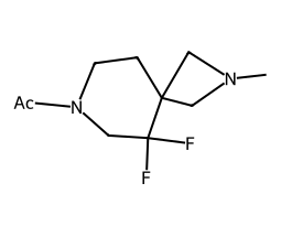 CC(=O)N1CCC2(CN(C)C2)C(F)(F)C1